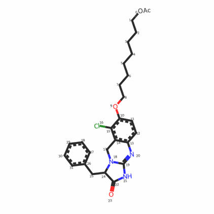 CC(=O)OCCCCCCCCOc1ccc2c(c1Cl)CN1C(=N2)NC(=O)C1Cc1ccccc1